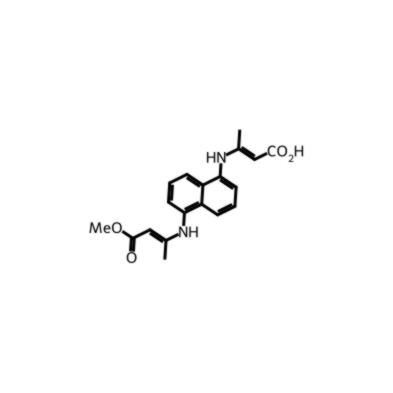 COC(=O)C=C(C)Nc1cccc2c(NC(C)=CC(=O)O)cccc12